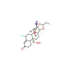 CCC1O[C@@H]2C[C@H]3[C@@H]4C[C@H](F)C5=CC(=O)CC[C@]5(C)[C@H]4[C@@H](O)C[C@]3(C)[C@]2(C2(C#N)CO2)O1